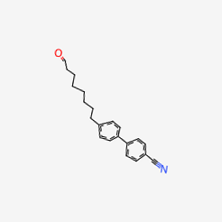 N#Cc1ccc(-c2ccc(CCCCCCCC=O)cc2)cc1